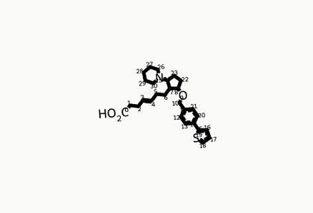 O=C(O)CC/C=C/CCC1C(OCc2ccc(-c3cccs3)cc2)CCC1N1CCCCC1